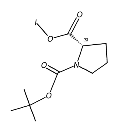 CC(C)(C)OC(=O)N1CCC[C@H]1C(=O)OI